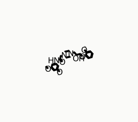 COc1cc(NC(=O)CN2CCN(CC(O)COc3ccccc3OC)CC2)cc(OC)c1